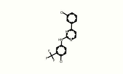 FC(F)(F)c1cc(Nc2nccc(-c3cccc(Cl)c3)n2)ccc1Cl